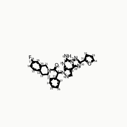 Nc1nc2c(cnn2C(C(=O)N2CCc3ccc(F)cc3C2)c2ccccc2)c2nc(-c3ccco3)nn12